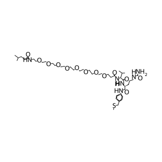 CSCc1ccc(NC(=O)[C@H](CCCNC(N)=O)NC(=O)[C@@H](NC(=O)CCOCCOCCOCCOCCOCCOCCOCCOCCNC(=O)CCC(C)C)C(C)C)cc1